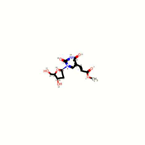 COC(=O)/C=C/c1cn([C@H]2C[C@@H](O)C(CO)O2)c(=O)[nH]c1=O